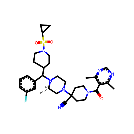 Cc1ncnc(C)c1C(=O)N1CCC(C#N)(N2CCN(C(c3cccc(F)c3)C3CCN(S(=O)(=O)C4CC4)CC3)[C@@H](C)C2)CC1